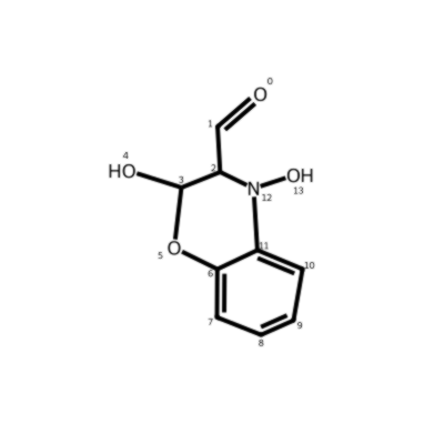 O=CC1C(O)Oc2ccccc2N1O